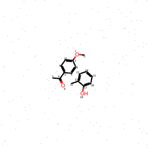 COc1ccc(C(C)=O)cc1.Cc1ccccc1O